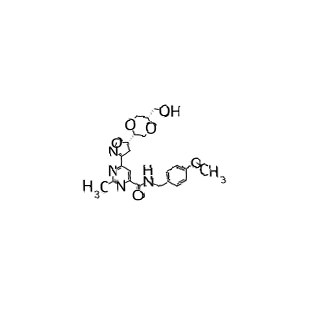 COc1ccc(CNC(=O)c2cc(C3=NO[C@H](C4CO[C@@H](CO)CO4)C3)nc(C)n2)cc1